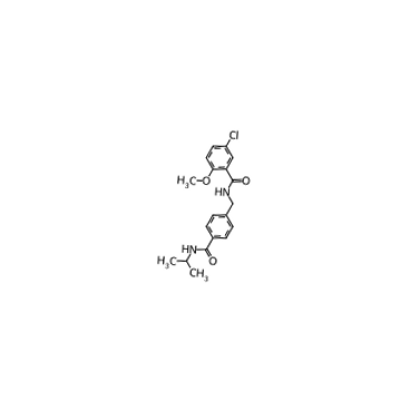 COc1ccc(Cl)cc1C(=O)NCc1ccc(C(=O)NC(C)C)cc1